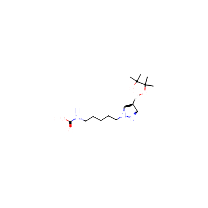 CC1(C)OB(c2cnn(CCCCCNC(=O)O)c2)OC1(C)C